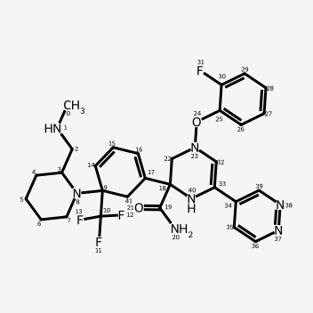 CNCC1CCCCN1C1(C(F)(F)F)C=CC=C(C2(C(N)=O)CN(Oc3ccccc3F)C=C(c3ccnnc3)N2)C1